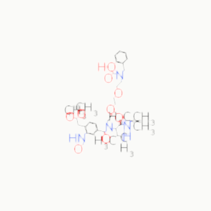 COC(Cc1ccc(C(=O)N(CCOCCOCCN(Cc2ccccc2)C(=O)O)C(C(=O)NC(C)(C)C)C(C)C)cc1NC=O)OC